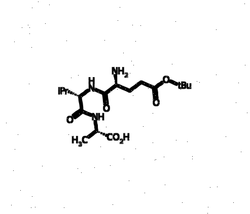 CC(C)[C@H](NC(=O)[C@@H](N)CCC(=O)OC(C)(C)C)C(=O)N[C@@H](C)C(=O)O